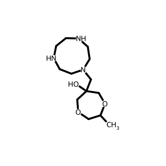 CC1COCC(O)(CN2CCNCCNCC2)CO1